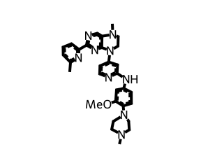 COc1cc(Nc2cc(N3CCN(C)c4cnc(-c5cccc(C)n5)nc43)ccn2)ccc1N1CCN(C)CC1